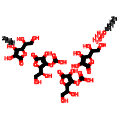 O.O.O.O=C(O)OC1=C(O)C(=O)O[C@@H]1[C@@H](O)CO.O=C(O)OC1=C(O)C(=O)O[C@@H]1[C@@H](O)CO.O=C1O[C@H]([C@@H](O)CO)C(O)=C1O.O=C1O[C@H]([C@@H](O)CO)C(O)=C1O.[KH].[KH].[KH].[KH].[Zn].[Zn].[Zn]